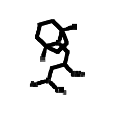 COC(CN(C)C(C)=O)CN1[C@@H]2C[CH]C[C@H]1CC2